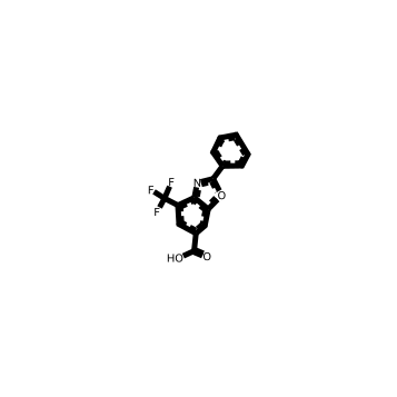 O=C(O)c1cc(C(F)(F)F)c2nc(-c3ccccc3)oc2c1